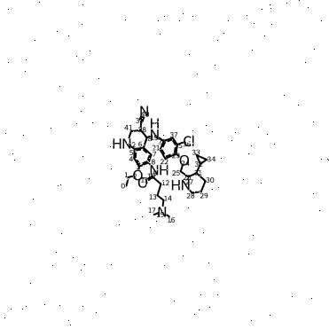 CCOc1cc2c(cc1NC(=O)CCCN(C)C)C(Nc1ccc(OCC3NCCCC3C3CC3)c(Cl)c1)C(C#N)CN2